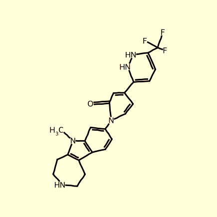 Cn1c2c(c3ccc(-n4ccc(C5=CC=C(C(F)(F)F)NN5)cc4=O)cc31)CCNCC2